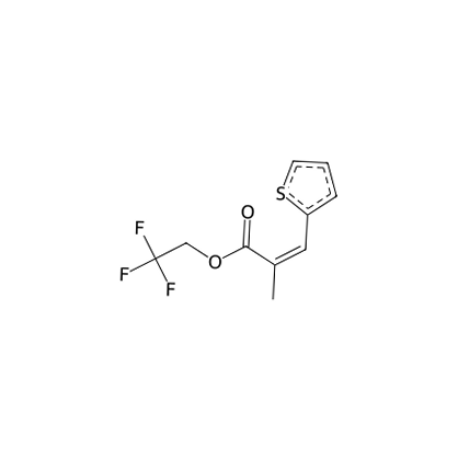 CC(=Cc1cccs1)C(=O)OCC(F)(F)F